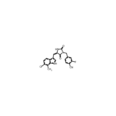 Cc1c(Cl)ccc2c(C=C3NC(=O)N(Cc4ccc(C#N)c(F)c4)C3=O)c[nH]c12